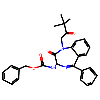 CC(C)(C)C(=O)CN1C(=O)[C@@H](NC(=O)OCc2ccccc2)N=C(c2ccccc2)c2ccccc21